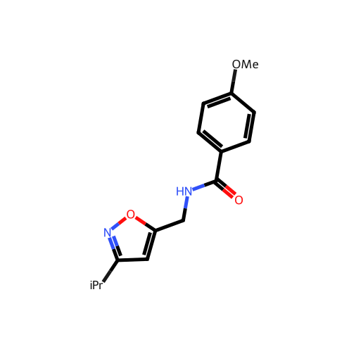 COc1ccc(C(=O)NCc2cc(C(C)C)no2)cc1